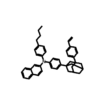 C=Cc1ccc(C23CC4CC(C2)CC(c2ccc(N(c5ccc(CCCC)cc5)c5ccc6ccccc6c5)cc2)(C4)C3)cc1